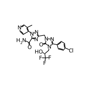 Cc1cnccc1-n1nc(Cn2nc(-c3ccc(Cl)cc3)n(C[C@H](O)C(F)(F)F)c2=O)nc1C(N)=O